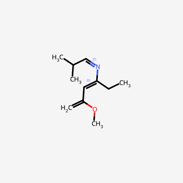 C=C(/C=C(CC)/N=C\C(C)C)OC